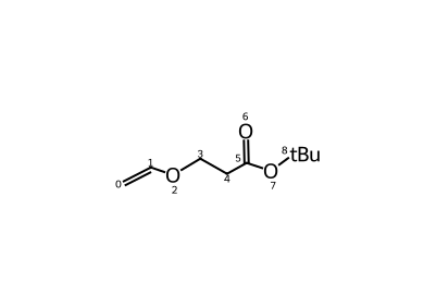 C=COCCC(=O)OC(C)(C)C